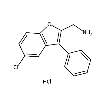 Cl.NCc1oc2ccc(Cl)cc2c1-c1ccccc1